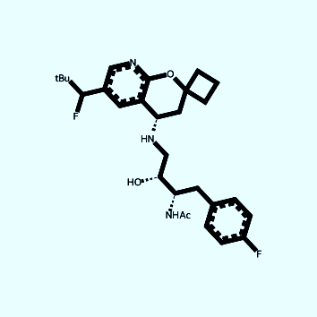 CC(=O)N[C@@H](Cc1ccc(F)cc1)[C@H](O)CN[C@H]1CC2(CCC2)Oc2ncc(C(F)C(C)(C)C)cc21